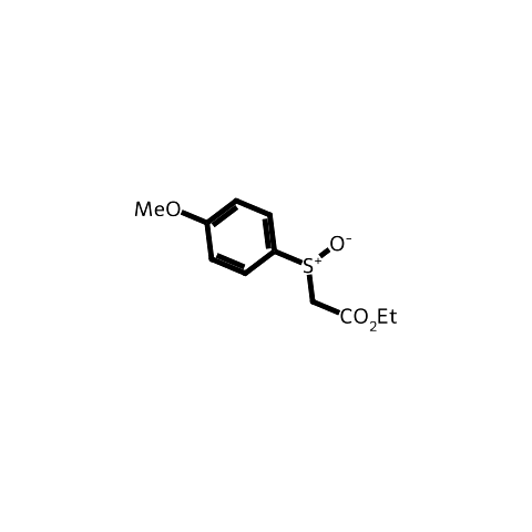 CCOC(=O)C[S+]([O-])c1ccc(OC)cc1